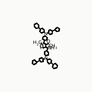 CN/C(=C(C=O)\C(C=O)=C(/NC)c1ccc(N(c2ccc(-c3ccccc3)cc2)c2ccc(-c3ccccc3)cc2)cc1)c1ccc(N(c2ccc(-c3ccccc3)cc2)c2ccc(-c3ccccc3)cc2)cc1